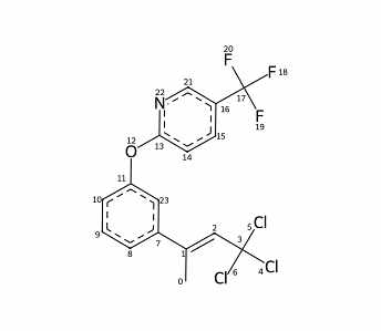 CC(=CC(Cl)(Cl)Cl)c1cccc(Oc2ccc(C(F)(F)F)cn2)c1